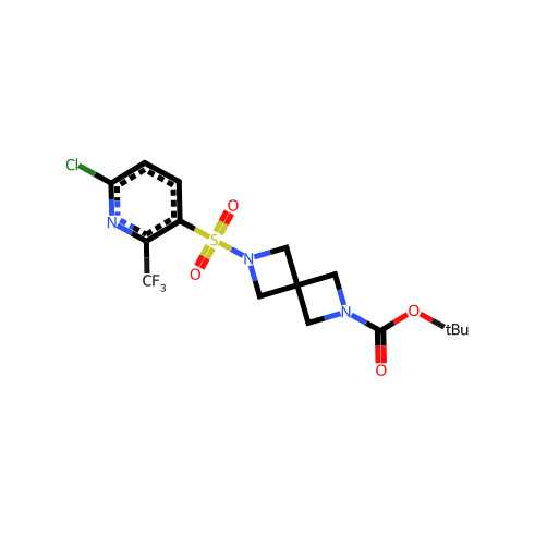 CC(C)(C)OC(=O)N1CC2(C1)CN(S(=O)(=O)c1ccc(Cl)nc1C(F)(F)F)C2